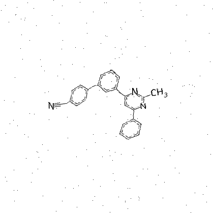 Cc1nc(-c2ccccc2)cc(-c2cccc(-c3ccc(C#N)cc3)c2)n1